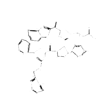 N=C(N)NCCC[C@H](NC(=O)[C@@H]1[C@@H](c2ccccc2)CCN1C(=O)[C@@H](CCc1ccccc1)NC(=O)OCc1ccccc1)C(=O)c1nc2ccccc2o1